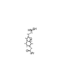 CC(C)C(=O)Cc1ccc2cc(CCNS)oc2c1